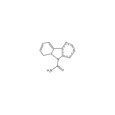 NC(=O)N1c2ccccc2C2=CC=CCC21